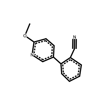 COc1ccc(-c2ccccc2C#N)cn1